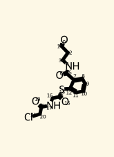 O=CCCNC(=O)c1ccccc1SC(=O)CNC(=O)CCl